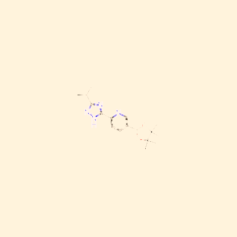 CC(C)c1n[nH]c(-c2ccc(B3OC(C)(C)C(C)(C)O3)cn2)n1